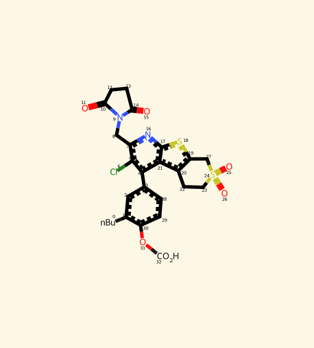 CCCCc1cc(-c2c(Cl)c(CN3C(=O)CCC3=O)nc3sc4c(c23)CCS(=O)(=O)C4)ccc1OC(=O)O